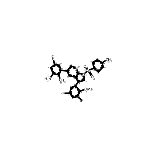 COc1c(F)cc(F)cc1-c1cn(S(=O)(=O)c2ccc(C)cc2)c2ncc(-c3cc(F)cc(N)c3C)cc12